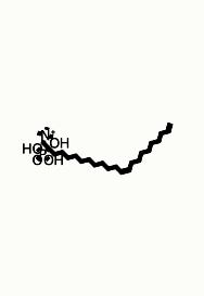 C=CCCCCCCC/C=C\CCCCCCCCCCC(O)(C[N+](C)(C)C)P(=O)(O)O